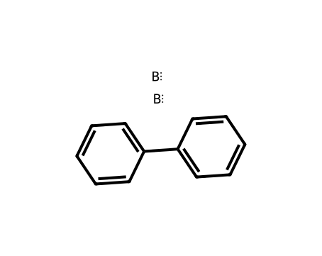 [B].[B].c1ccc(-c2ccccc2)cc1